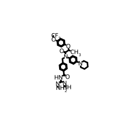 CC(Oc1ccc(OC(F)(F)F)cc1)C(=O)N(Cc1ccc(C(=O)N/C(N=N)=N/N)cc1)c1ccc(N2CCCCC2)cc1